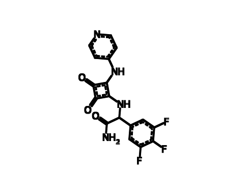 NC(=O)C(Nc1c(Nc2ccncc2)c(=O)c1=O)c1cc(F)c(F)c(F)c1